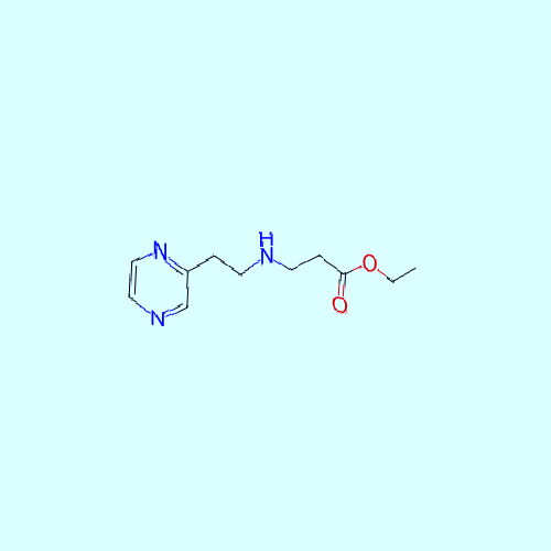 CCOC(=O)CCNCCc1cnccn1